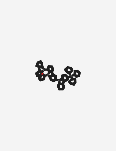 c1ccc(-n2c3ccc(-n4c5ccccc5c5cc([Si](c6ccccc6)(c6ccccc6)c6ccccc6)ccc54)cc3c3cccc(-n4c5ccccc5c5ccccc54)c32)cc1